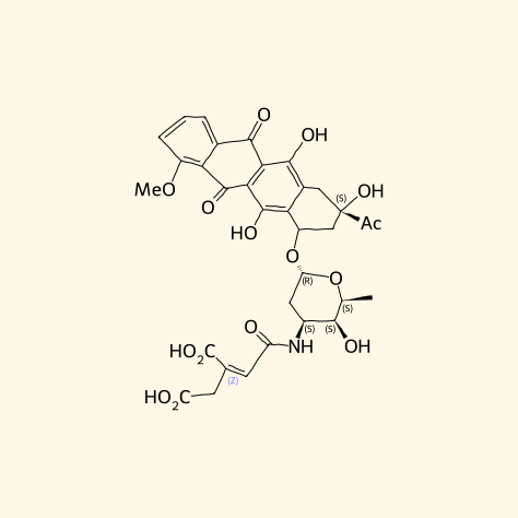 COc1cccc2c1C(=O)c1c(O)c3c(c(O)c1C2=O)C[C@@](O)(C(C)=O)CC3O[C@H]1C[C@H](NC(=O)/C=C(/CC(=O)O)C(=O)O)[C@H](O)[C@H](C)O1